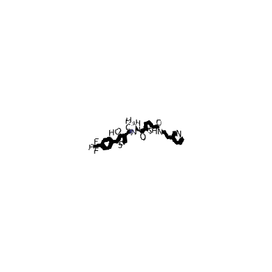 C/C(=N\NC(=O)c1ccc(C(=O)NCCc2cccnc2)s1)c1csc(-c2ccc(C(F)(F)F)cc2)c1O